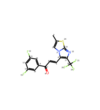 Cc1cn2c(C=CC(=O)c3cc(F)cc(F)c3)c(C(F)(F)F)nc2s1